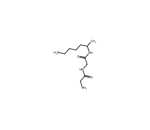 CC(CCCCN)NC(=O)CNC(=O)CN